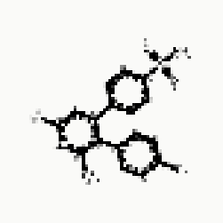 NS(=O)(=O)c1ccc(-c2cc(Br)nc(C(F)(F)F)c2-c2ccc(F)cc2)cc1